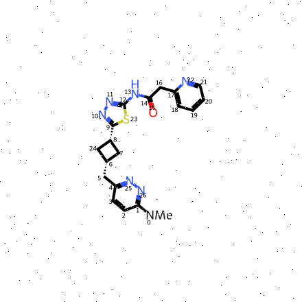 CNc1ccc(C[C@H]2C[C@@H](c3nnc(NC(=O)Cc4ccccn4)s3)C2)nn1